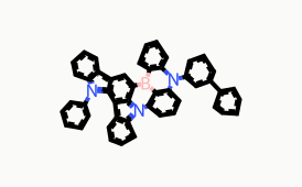 c1ccc(-c2cccc(N3c4ccccc4B4c5c3cccc5-n3c5ccccc5c5c3c4cc3c4ccccc4n(-c4ccccc4)c35)c2)cc1